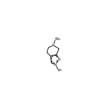 CC(C)n1cc2c(n1)CN(C(C)(C)C)CC2